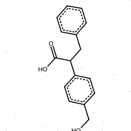 O=C(O)C(Cc1ccccc1)c1ccc(CO)cc1